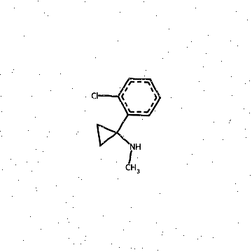 CNC1(c2ccccc2Cl)CC1